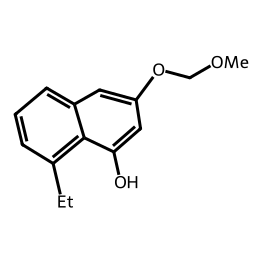 CCc1cccc2cc(OCOC)cc(O)c12